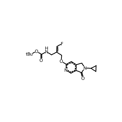 CC(C)(C)OC(=O)NC/C(=C/F)COc1cc2c(cn1)C(=O)N(C1CC1)C2